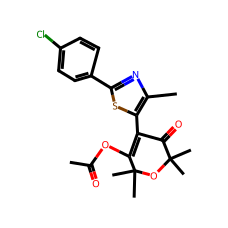 CC(=O)OC1=C(c2sc(-c3ccc(Cl)cc3)nc2C)C(=O)C(C)(C)OC1(C)C